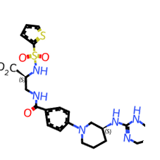 O=C(NC[C@H](NS(=O)(=O)c1cccs1)C(=O)O)c1ccc(N2CCC[C@H](NC3=NCCCN3)C2)cc1